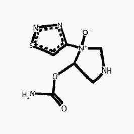 NC(=O)OC1CNC[N+]1([O-])c1csnn1